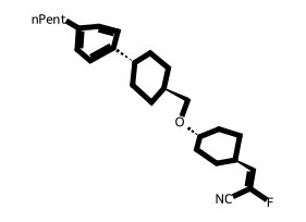 CCCCCc1ccc([C@H]2CC[C@H](CO[C@H]3CC[C@H](/C=C(/F)C#N)CC3)CC2)cc1